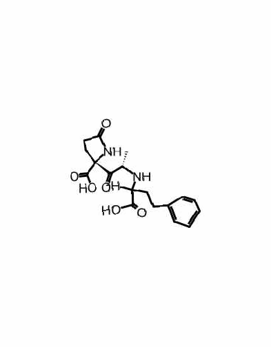 [2H]C(CCc1ccccc1)(N[C@@H](C)C(=O)[C@@]1(C(=O)O)CCC(=O)N1)C(=O)O